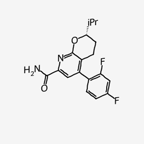 CC(C)[C@@H]1CCc2c(-c3ccc(F)cc3F)cc(C(N)=O)nc2O1